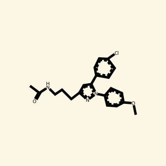 COc1ccc(-n2nc(CCCNC(C)=O)cc2-c2ccc(Cl)cc2)cc1